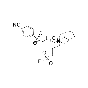 CCS(=O)(=O)CCCN(C)C1C2CCC1CN(CCCS(=O)(=O)c1ccc(C#N)cc1)C2